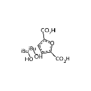 CCC(C)O.CCC(C)O.O=C(O)c1ccc(C(=O)O)o1